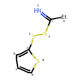 CCC(=N)SSc1cccs1